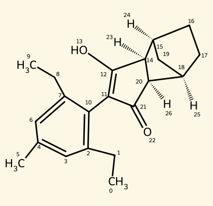 CCc1cc(C)cc(CC)c1C1=C(O)[C@H]2[C@H]3CC[C@H](C3)[C@H]2C1=O